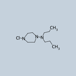 CCCN(CCC)N1CCN(Cl)CC1